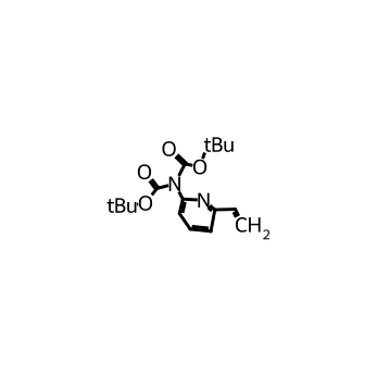 C=Cc1cccc(N(C(=O)OC(C)(C)C)C(=O)OC(C)(C)C)n1